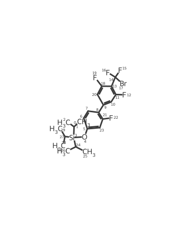 CC(C)[Si](Oc1ccc(-c2cc(F)c(C(F)(F)Br)c(F)c2)c(F)c1)(C(C)C)C(C)C